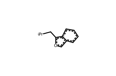 C[C](C)Cc1occ2ccccc12